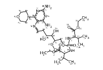 CCOC(=O)C(NP(=O)(NC(C(=O)OCC)C(C)C)OCC(OC)C(O)[C@H](O)C/C=N\c1c(N)nc(N)nc1N1CCOCC1)C(C)C